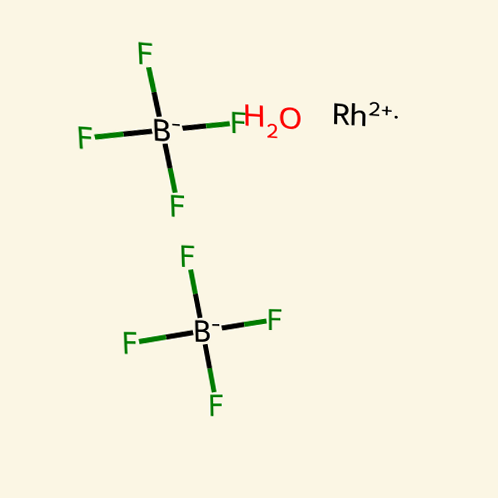 F[B-](F)(F)F.F[B-](F)(F)F.O.[Rh+2]